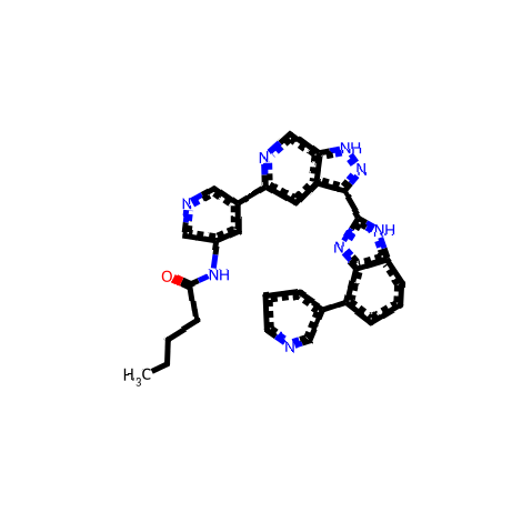 CCCCC(=O)Nc1cncc(-c2cc3c(-c4nc5c(-c6cccnc6)cccc5[nH]4)n[nH]c3cn2)c1